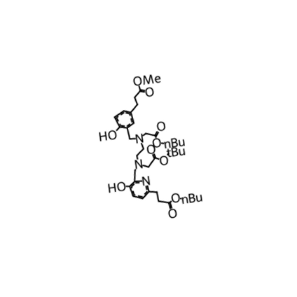 CCCCOC(=O)CCc1ccc(O)c(CN(CCN(CC(=O)OCCCC)Cc2cc(CCC(=O)OC)ccc2O)CC(=O)OC(C)(C)C)n1